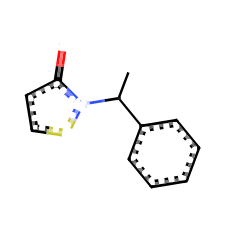 CC(c1ccccc1)n1sccc1=O